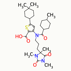 CC1CCC(C(=O)N(CCCC2(C)C(=O)N(C)C(=O)N2C)c2cc(C3CCC(C)(C)CC3)sc2C(=O)O)CC1